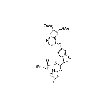 COc1cc2nccc(Oc3ccc(N/C(=N/c4cc(C)on4)SCC(=O)NC(C)C)c(Cl)c3)c2cc1OC